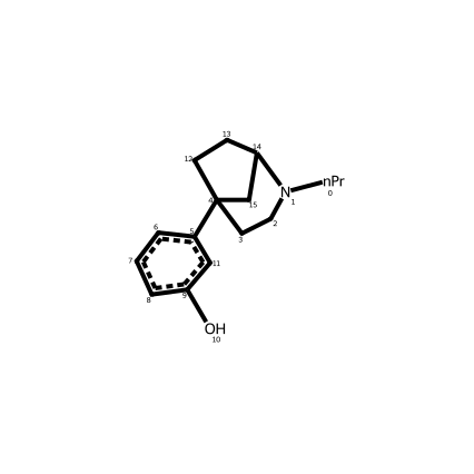 CCCN1CCC2(c3cccc(O)c3)CCC1C2